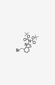 CC(C)(C)OC(=O)N(C(=O)OC(C)(C)C)c1nc2c(CBr)cccc2s1